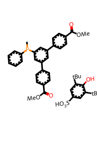 CC(C)(C)c1cc(S(=O)(=O)O)cc(C(C)(C)C)c1O.COC(=O)c1ccc(-c2cc(-c3ccc(C(=O)OC)cc3)cc(P(C)c3ccccc3)c2)cc1